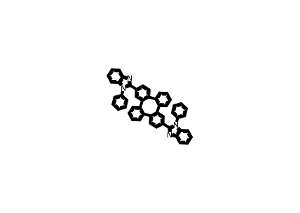 c1ccc(-n2c(-c3ccc4c(c3)-c3ccccc3-c3ccc(-c5nc6ccccc6n5-c5ccccc5)cc3-c3ccccc3-4)nc3ccccc32)cc1